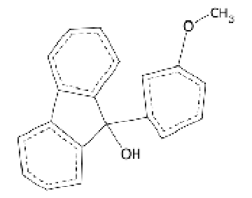 COc1cccc(C2(O)c3ccccc3-c3ccccc32)c1